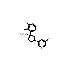 Cc1c(F)cccc1[C@@]1(C(=O)O)CC[C@H](c2cncc(F)c2)C1